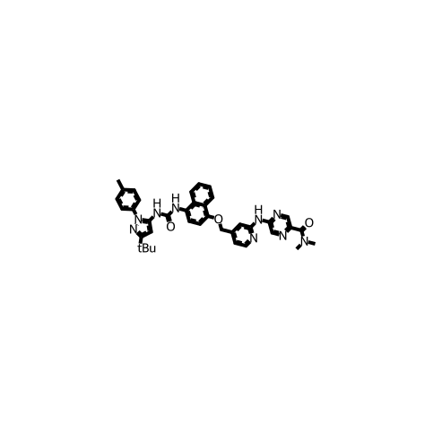 Cc1ccc(-n2nc(C(C)(C)C)cc2NC(=O)Nc2ccc(OCc3ccnc(Nc4cnc(C(=O)N(C)C)cn4)c3)c3ccccc23)cc1